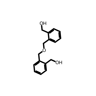 OCc1ccccc1COCc1ccccc1CO